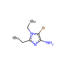 CC(C)(C)Cc1nc(N)c(Br)n1CC(C)(C)C